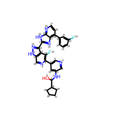 OC(Nc1cncc(-c2ncc3[nH]nc(-c4nc5c(-c6cccc(F)c6)ccnc5[nH]4)c3c2F)c1)C1CCCC1